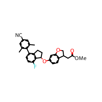 COC(=O)CC1COc2cc(O[C@@H]3CCc4c(-c5c(C)cc(C#N)cc5C)ccc(F)c43)ccc21